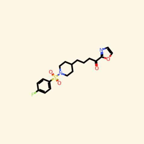 O=C(CCCC1CCN(S(=O)(=O)c2ccc(F)cc2)CC1)c1ncco1